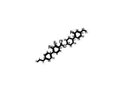 CCCc1ccc(-c2ccc(C(=O)OC3CCC(c4ccc(CC)cc4F)CC3)c(F)c2F)cc1